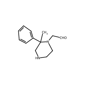 CC1(c2ccccc2)CNCCN1CC=O